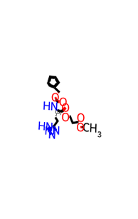 COC(=O)CCOC(=O)[C@H](CCc1nnn[nH]1)NC(=O)OCc1ccccc1